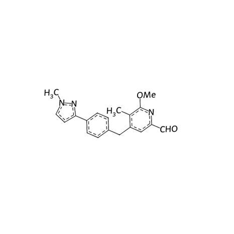 COc1nc(C=O)cc(Cc2ccc(-c3ccn(C)n3)cc2)c1C